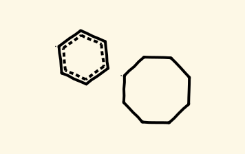 [CH]1CCCCCCC1.[c]1ccccc1